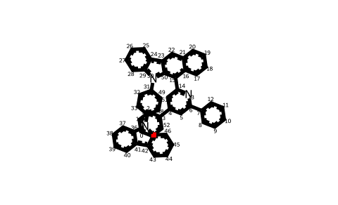 c1ccc(-c2cc(-c3ccccc3)nc(-c3c4ccccc4cc4c5ccccc5n(-c5ccc(-n6c7ccccc7c7ccccc76)cc5)c34)c2)cc1